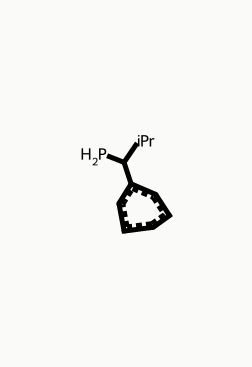 CC(C)C(P)c1ccccc1